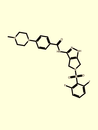 CN1CCN(c2ccc(C(=O)Nc3n[nH]c4c3CN(S(=O)(=O)c3c(F)cccc3F)C4)cc2)CC1